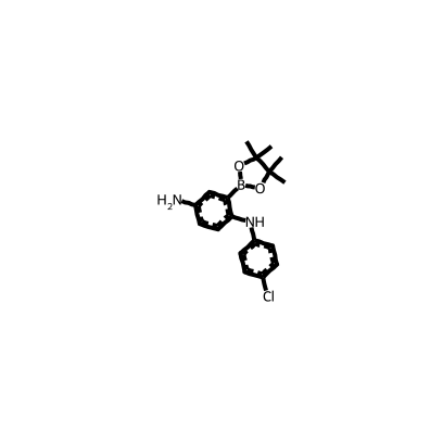 CC1(C)OB(c2cc(N)ccc2Nc2ccc(Cl)cc2)OC1(C)C